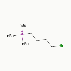 CCCC[PH](CCCC)(CCCC)CCCCBr